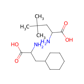 CC(C)(C)CC(N)C(=O)O.NC(CC1CCCCC1)C(=O)O